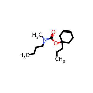 CCCCN(C)C(=O)OC1(CCC)CC=CCC1